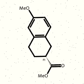 COC(=O)[C@@H]1CCc2cc(OC)ccc2C1